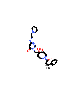 C[C@H](CC(=O)N1CCC(O)(Cn2cnc(NCCN3CCCCC3)cc2=O)CC1)c1ccccc1